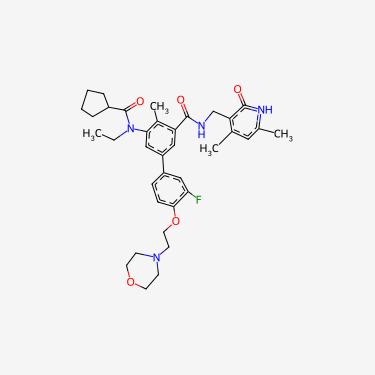 CCN(C(=O)C1CCCC1)c1cc(-c2ccc(OCCN3CCOCC3)c(F)c2)cc(C(=O)NCc2c(C)cc(C)[nH]c2=O)c1C